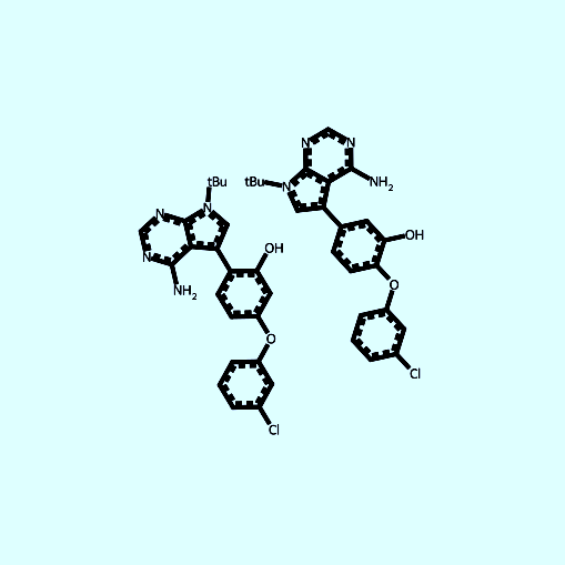 CC(C)(C)n1cc(-c2ccc(Oc3cccc(Cl)c3)c(O)c2)c2c(N)ncnc21.CC(C)(C)n1cc(-c2ccc(Oc3cccc(Cl)c3)cc2O)c2c(N)ncnc21